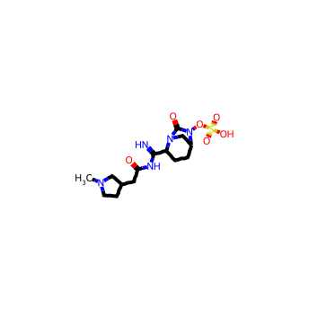 CN1CCC(CC(=O)NC(=N)C2CCC3CN2C(=O)N3OS(=O)(=O)O)C1